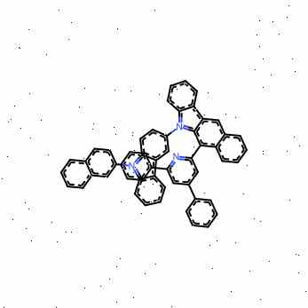 c1ccc(-c2cc(-c3ccccc3)nc(-c3c4ccccc4cc4c5ccccc5n(-c5ccc6c(c5)c5ccccc5n6-c5ccc6ccccc6c5)c34)c2)cc1